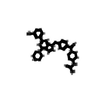 O=C(O)NC1CCN(C(=O)c2ccc(Cn3nnc4c(N5CCOCC5)nc(-c5cccc(O)c5)nc43)cc2)CC1